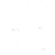 C=C(C)C(N)=O.O=C1C=CC(=O)O1